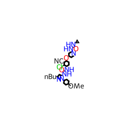 CCCCc1cc(NC(=O)Nc2ccc(Oc3ccnc(NC(=O)NC4CC4)c3)c(C#N)c2Cl)n(-c2ccc(OC)cc2)n1